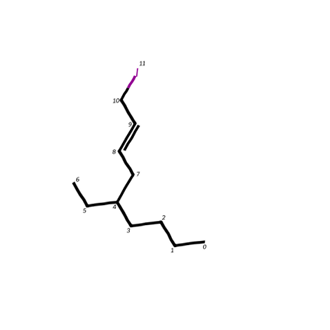 CCCCC(CC)CC=CCI